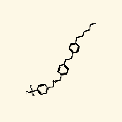 CCCCCCc1ccc(CCc2ccc(C[N]Cc3ccc(C(F)(F)F)cc3)cc2)cc1